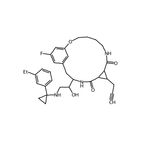 C#CCC1C2C(=O)NCCCCOc3cc(F)cc(c3)CC(C(O)CNC3(c4cccc(CC)c4)CC3)NC(=O)C12